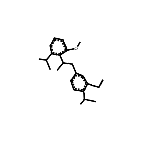 CCc1cc(CC(C)c2c(OC)cccc2C(C)C)ccc1C(C)C